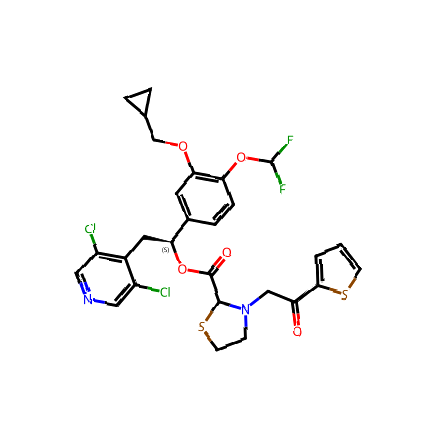 O=C(CN1CCSC1C(=O)O[C@@H](Cc1c(Cl)cncc1Cl)c1ccc(OC(F)F)c(OCC2CC2)c1)c1cccs1